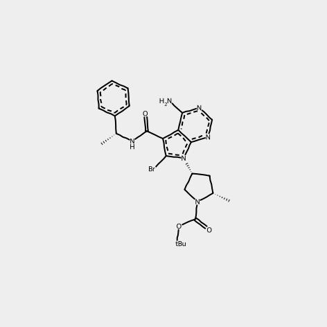 C[C@@H](NC(=O)c1c(Br)n([C@@H]2C[C@H](C)N(C(=O)OC(C)(C)C)C2)c2ncnc(N)c12)c1ccccc1